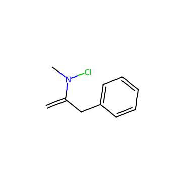 C=C(Cc1ccccc1)N(C)Cl